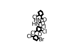 O=C(NC(=O)c1ccccc1Cl)Nc1cc(Cl)c(Oc2cc(Cl)ccc2Br)c(Cl)c1Cl